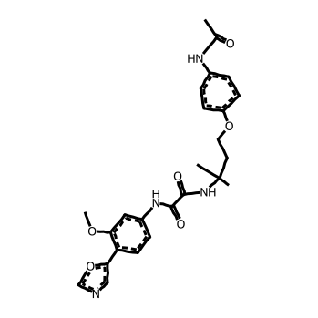 COc1cc(NC(=O)C(=O)NC(C)(C)CCOc2ccc(NC(C)=O)cc2)ccc1-c1cnco1